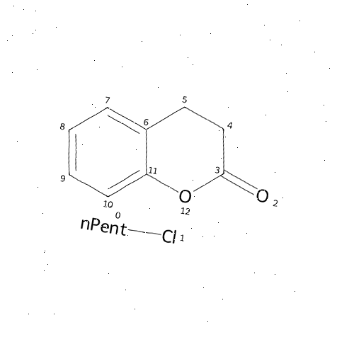 CCCCCCl.O=C1CCc2ccccc2O1